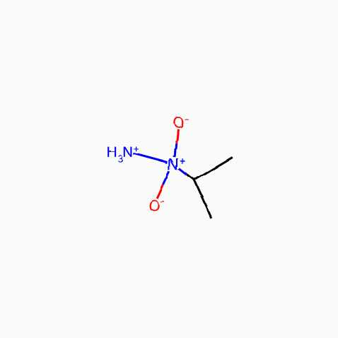 CC(C)[N+]([NH3+])([O-])[O-]